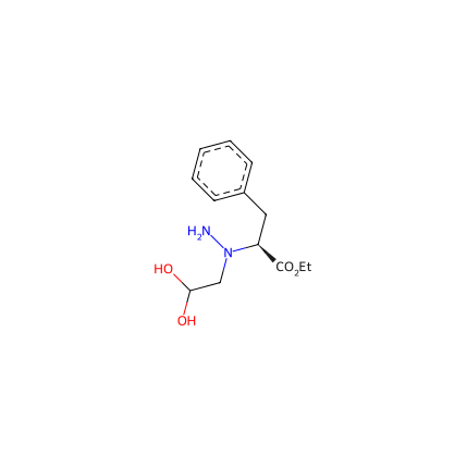 CCOC(=O)[C@H](Cc1ccccc1)N(N)CC(O)O